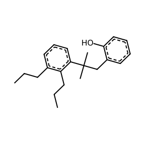 CCCc1cccc(C(C)(C)Cc2ccccc2O)c1CCC